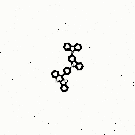 c1ccc2c(-c3ccc(-n4c5ccccc5c5cc(-n6c7ccccc7c7ccccc76)ccc54)cc3)c3oc4ccccc4c3nc2c1